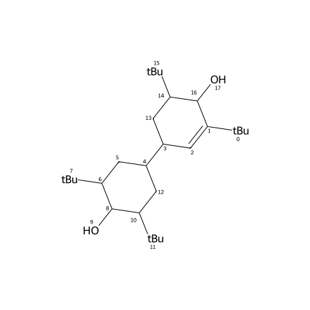 CC(C)(C)C1=CC(C2CC(C(C)(C)C)C(O)C(C(C)(C)C)C2)CC(C(C)(C)C)C1O